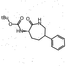 CC(C)(C)OC(=O)N[C@@H]1CCC(c2ccccc2)CNC1=O